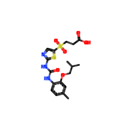 Cc1ccc(NC(=O)Nc2ncc(S(=O)(=O)CCC(=O)O)s2)c(OCC(C)C)c1